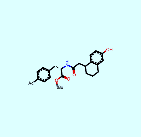 CC(=O)c1ccc(C[C@H](NC(=O)CC2CCCc3cc(O)ccc32)C(=O)OC(C)(C)C)cc1